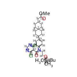 COC(=O)CC1CCC2(CC1)CCC(c1ccc(N(CCO[Si](C)(C)C(C)(C)C)C(=O)c3c(Cl)ncnc3Cl)cc1)CC2